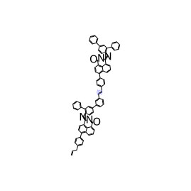 C=CCc1ccc(-c2ccc3c4c2cccc4c(=O)n2c4cc(-c5cccc(/C=C/c6ccc(-c7ccc8c(=O)n9c%10cc(-c%11ccccc%11)cc(-c%11ccccc%11)c%10nc9c9cccc7c89)cc6)c5)cc(-c5ccccc5)c4nc32)cc1